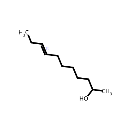 CC/C=C/CCCCCC(C)O